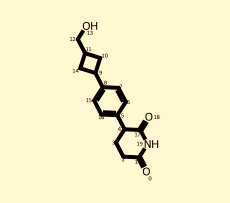 O=C1CCC(c2ccc(C3CC(CO)C3)cc2)C(=O)N1